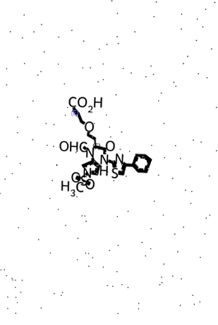 CS(=O)(=O)n1ccc(N(C=O)[C@@H](CCOC/C=C/C(=O)O)C(=O)Nc2nc(-c3ccccc3)cs2)c1